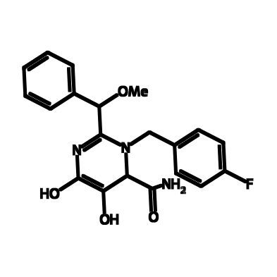 COC(C1=NC(O)=C(O)C(C(N)=O)N1Cc1ccc(F)cc1)c1ccccc1